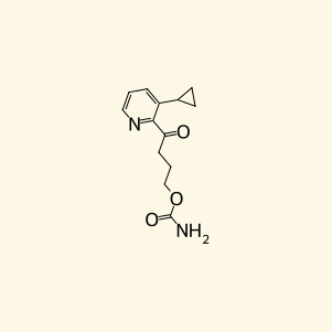 NC(=O)OCCCC(=O)c1ncccc1C1CC1